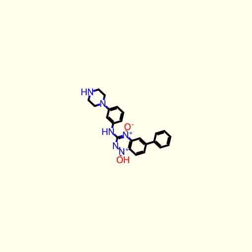 [O-][n+]1c(Nc2cccc(N3CCNCC3)c2)n[n+](O)c2ccc(-c3ccccc3)cc21